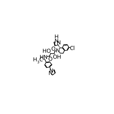 C[C@@H](NC(=O)[C@H](O)[C@@H](O)C(=O)N1CCc2cc(Cl)ccc2[C@@H]1c1cc[nH]n1)c1ccc(-n2cccn2)cc1